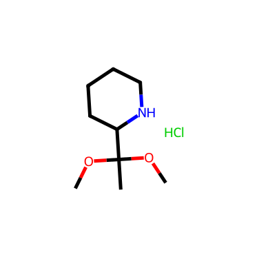 COC(C)(OC)C1CCCCN1.Cl